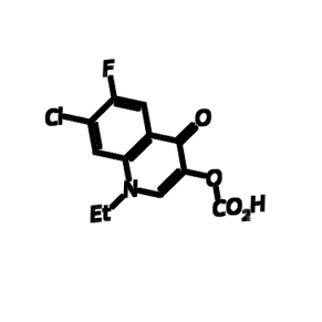 CCn1cc(OC(=O)O)c(=O)c2cc(F)c(Cl)cc21